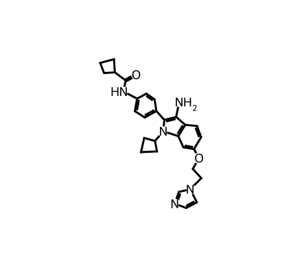 Nc1c(-c2ccc(NC(=O)C3CCC3)cc2)n(C2CCC2)c2cc(OCCn3ccnc3)ccc12